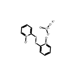 [K+].[O-][Cl+2]([O-])[O-].[O-][n+]1ccccc1SSc1cccc[n+]1[O-]